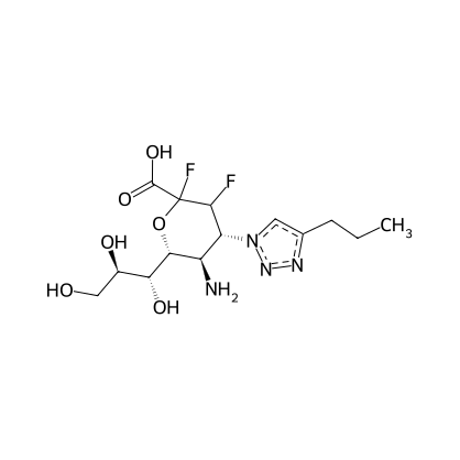 CCCc1cn([C@H]2C(F)C(F)(C(=O)O)O[C@@H]([C@H](O)[C@H](O)CO)[C@@H]2N)nn1